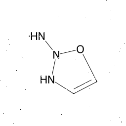 [NH]N1NC=CO1